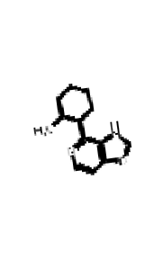 CC1CCCCC1c1nccc2c1NCO2